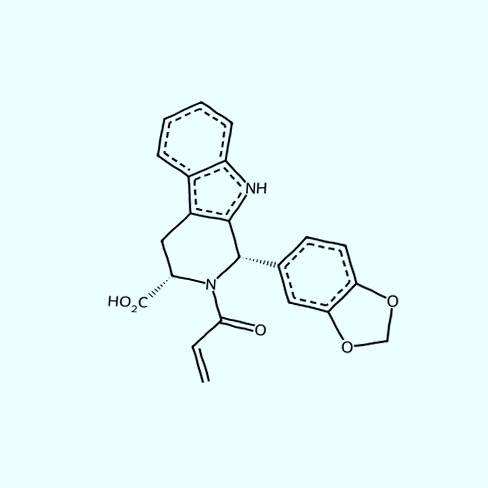 C=CC(=O)N1[C@@H](c2ccc3c(c2)OCO3)c2[nH]c3ccccc3c2C[C@H]1C(=O)O